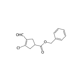 O=CC1=C(Cl)CC(C(=O)OCc2ccccc2)C1